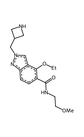 CCOc1c(C(=O)NCCOC)ccc2nn(CC3CNC3)cc12